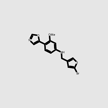 COc1cc(NCc2csc(Br)c2)ccc1-c1cnco1